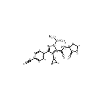 CC(C)n1nc(-c2ccc(C#N)cc2)c(C2CC2)c1C(=O)N[C@H]1CCOC1=O